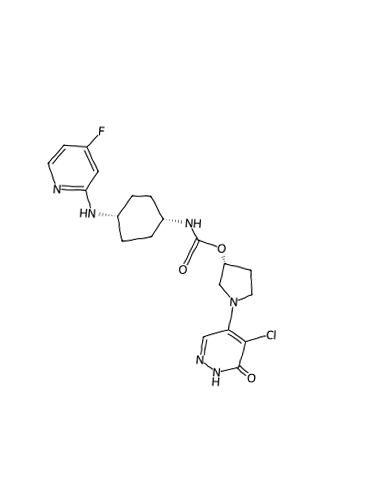 O=C(N[C@H]1CC[C@@H](Nc2cc(F)ccn2)CC1)O[C@@H]1CCN(c2cn[nH]c(=O)c2Cl)C1